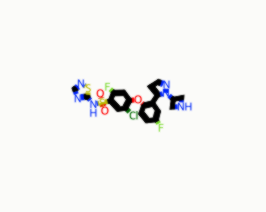 O=S(=O)(Nc1ncns1)c1cc(Cl)c(Oc2ccc(F)cc2-c2ccnn2C2CNC2)cc1F